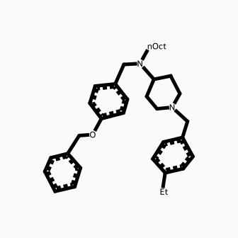 CCCCCCCCN(Cc1ccc(OCc2ccccc2)cc1)C1CCN(Cc2ccc(CC)cc2)CC1